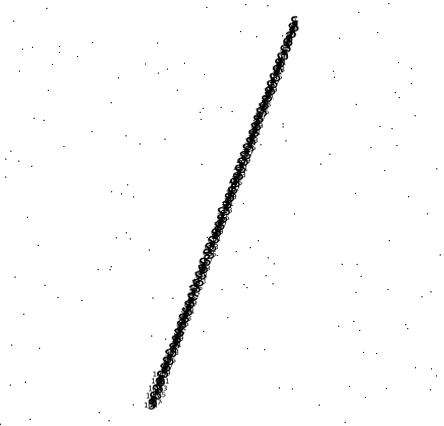 S=S=S=S=S=S=S=S=S=S=S=S=S=S=S=S=S=S=S=S=S=S=S=S=S=S=S=S=S=S=S=S=S=S=S=S=S=S=S=S=S=S=S=S=S=S=S=S=S=S=S=S=S=S=S=S=S=S=S=S=S=S=S=S=S=S=S=S=S=S=S=S=S=S=S=S=S=S=S=S=S=S=S=S=S=S=S=S=S=S=S=S=S=S=S=S=S=S=S=S=S=S=S=S=S=S=S=S=S